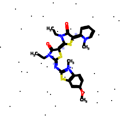 CCN1C(=O)/C(=c2/s/c(=C3/C=CC=CN3C)c(=O)n2CC)S/C1=N\c1sc2cc(OC)ccc2[n+]1C